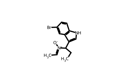 C/C=[N+](\[O-])C(CC)c1c[nH]c2ccc(Br)cc12